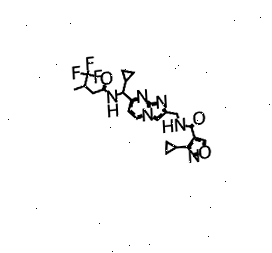 CC(CC(=O)NC(c1ccn2cc(CNC(=O)c3conc3C3CC3)nc2n1)C1CC1)C(F)(F)F